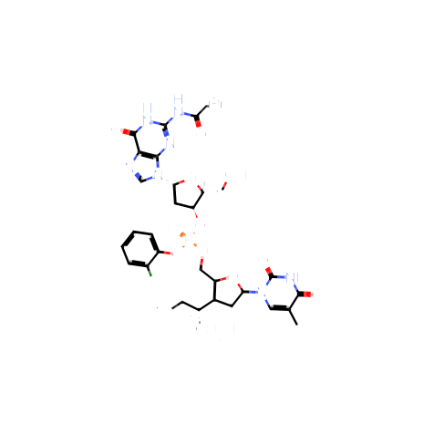 CC(=O)C[C@@H](C(=O)O)C1CC(n2cc(C)c(=O)[nH]c2=O)OC1COP(=O)(Oc1ccccc1Cl)O[C@H]1C[C@H](n2cnc3c(=O)[nH]c(NC(=O)C(C)C)nc32)O[C@@H]1CO